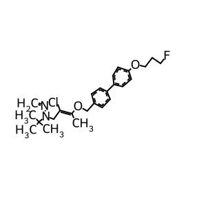 C=NN(C/C(Cl)=C(\C)OCc1ccc(-c2ccc(OCCCF)cc2)cc1)C(C)(C)C